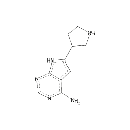 Nc1ncnc2[nH]c(C3CCNC3)cc12